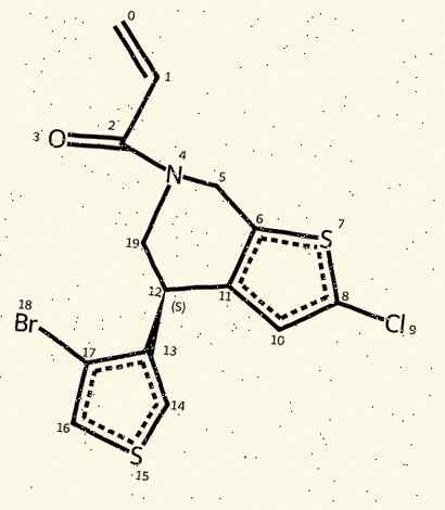 C=CC(=O)N1Cc2sc(Cl)cc2[C@@H](c2cscc2Br)C1